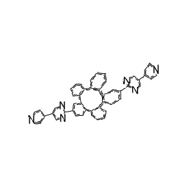 c1ccc2c(c1)c1ccccc1c1cc(-c3ncc(-c4ccncc4)cn3)ccc1c1ccccc1c1ccc(-c3ncc(-c4ccncc4)cn3)cc21